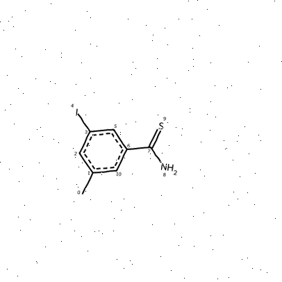 Cc1cc(I)cc(C(N)=S)c1